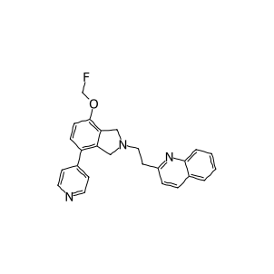 FCOc1ccc(-c2ccncc2)c2c1CN(CCc1ccc3ccccc3n1)C2